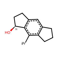 CC(C)c1c2c(cc3c1[C@@H](O)CC3)CCC2